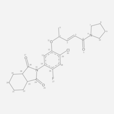 CC(C=CC(=O)N1CCCC1)Oc1cc(N2C(=O)C3CCCCC3C2=O)c(F)cc1Cl